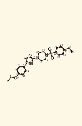 CCOc1ccc(-c2csc(N3CCN(S(=O)(=O)c4ccc(CBr)cc4)CC3)n2)cc1